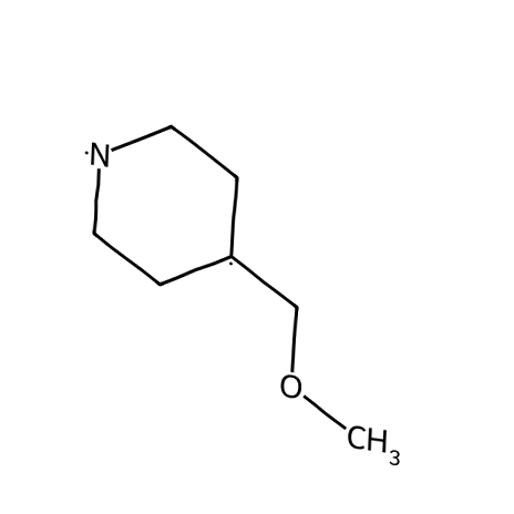 COC[C]1CC[N]CC1